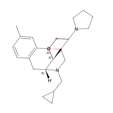 Cc1ccc2c(c1)[C@]13CCN(CC4CC4)[C@H](C2)[C@]12CCC(N1CCCC1)(CO2)C3